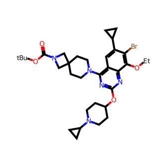 CCOc1c(Br)c(C2CC2)cc2c(N3CCC4(CC3)CN(C(=O)OC(C)(C)C)C4)nc(OC3CCN(C4CC4)CC3)nc12